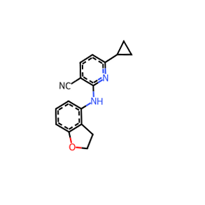 N#Cc1ccc(C2CC2)nc1Nc1cccc2c1CCO2